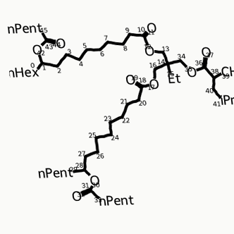 CCCCCCC(CCCCCCCCC(=O)OCC(CC)(COC(=O)CCCCCCCCC(CCCCC)OC(=O)CCCCC)COC(=O)C(C)CC(C)C)OC(=O)CCCCC